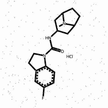 CN1C2CCC1CC(NC(=O)N1CCc3cc(F)ccc31)C2.Cl